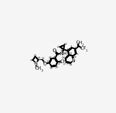 C=C(c1cc(C2(NC(=O)c3cc(OC[C@@H]4CCN4C)ccc3C)CC2)c2cccnc2c1)C(F)(F)F